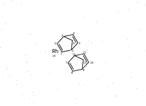 C1=CC2C=CC1C2.C1=CC2C=CC1C2.[Rh]